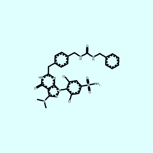 CN(C)c1nn(-c2c(Cl)cc(S(N)(=O)=O)cc2Cl)c2nc(Cc3ccc(CNC(=O)NCc4ccccc4)cc3)[nH]c(=O)c12